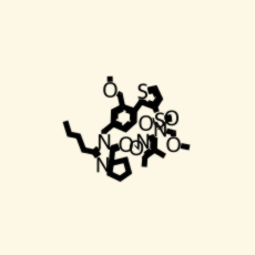 CCCCC1=NC2(CCCC2)C(=O)N1Cc1ccc(-c2sccc2S(=O)(=O)N(COC)c2noc(C)c2C)c(COC)c1